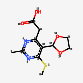 CSc1nc(C)nc(CC(=O)O)c1C1OCCO1